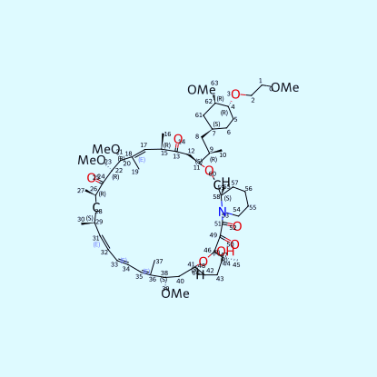 COCCO[C@@H]1CC[C@@H](C[C@@H](C)[C@@H]2CC(=O)[C@H](C)/C=C(\C)[C@@H](OC)[C@@H](OC)C(=O)[C@H](C)C[C@H](C)/C=C/C=C/C=C(\C)[C@@H](OC)C[C@@H]3CC[C@@H](C)[C@@](O)(O3)C(=O)C(=O)N3CCCC[C@H]3CO2)C[C@H]1OC